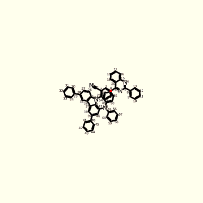 N#Cc1cc(-c2nc(-c3ccccc3)nc3ccccc23)ccc1-n1c2ccc(-c3ccccc3)cc2c2cc(-c3ccccc3)cc(N(c3ccccc3)c3ccccc3)c21